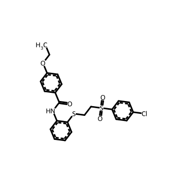 CCOc1ccc(C(=O)Nc2ccccc2SCCS(=O)(=O)c2ccc(Cl)cc2)cc1